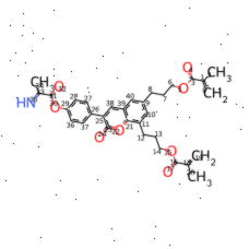 C=C(C)C(=O)OCCCc1cc(CCCOC(=O)C(=C)C)c2oc(=O)c(-c3ccc(OC(=O)C(C)=N)cc3)cc2c1